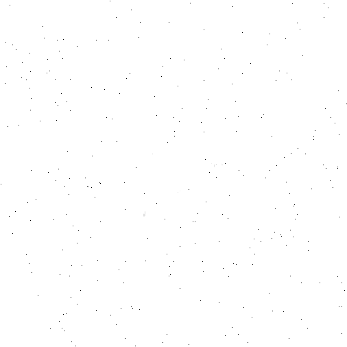 CCCCCCCCOC(=O)C(CC)=C(CCC)C(=O)OCCCCCCCC